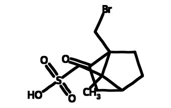 CC1(CS(=O)(=O)O)C2CCC1(CBr)C(=O)C2